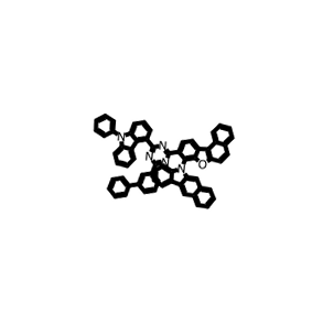 c1ccc(-c2cccc(-c3nc(-c4ccc5c(oc6ccc7ccccc7c65)c4-n4c5ccccc5c5cc6ccccc6cc54)nc(-c4cccc5c4c4ccccc4n5-c4ccccc4)n3)c2)cc1